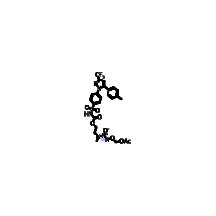 CC(=O)OCO/N=[N+](\[O-])N(C)CCOC(=O)NS(=O)(=O)c1ccc(-n2nc(C(F)(F)F)cc2-c2ccc(C)cc2)cc1